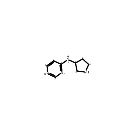 c1cc(NC2CCNC2)ncn1